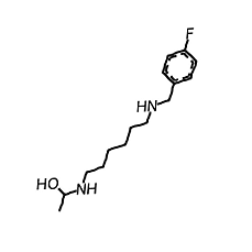 CC(O)NCCCCCCNCc1ccc(F)cc1